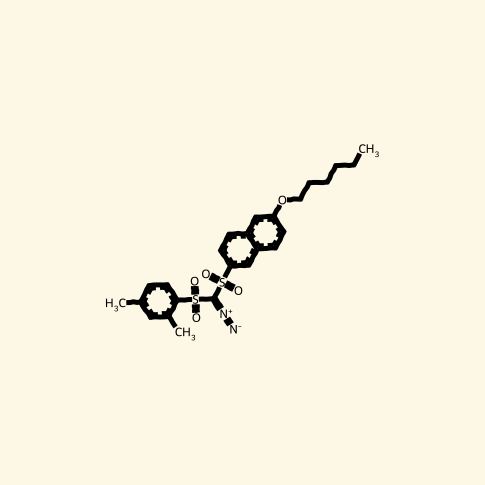 CCCCCCOc1ccc2cc(S(=O)(=O)C(=[N+]=[N-])S(=O)(=O)c3ccc(C)cc3C)ccc2c1